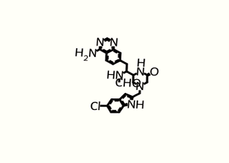 Nc1ncnc2cc(CC(NC=O)C3CN(Cc4cc5cc(Cl)ccc5[nH]4)CC(=O)N3)ccc12